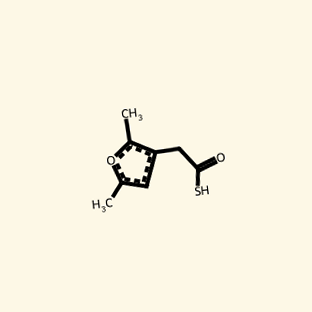 Cc1cc(CC(=O)S)c(C)o1